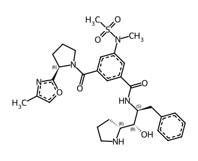 Cc1coc([C@H]2CCCN2C(=O)c2cc(C(=O)N[C@@H](Cc3ccccc3)[C@H](O)[C@H]3CCCN3)cc(N(C)S(C)(=O)=O)c2)n1